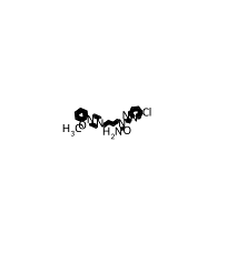 COc1ccccc1N1CCN(CCCCN(C(N)=O)c2cn3cc(Cl)ccc3n2)CC1